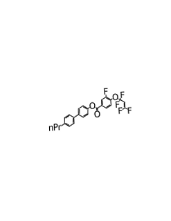 CCCc1ccc(-c2ccc(OC(=O)c3ccc(OC(F)(F)C=C(F)F)c(F)c3)cc2)cc1